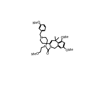 COCCN1C(=O)N2Cc3cc(OC)cc(OC)c3C(C)(C)C=C2C12CCN(Cc1cccc(OC)c1)CC2